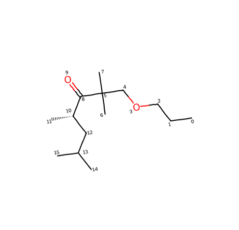 CCCOCC(C)(C)C(=O)[C@@H](C)CC(C)C